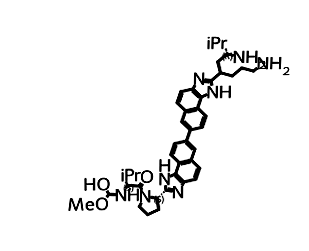 COC(O)N[C@H](C(=O)N1CCC[C@H]1c1nc2ccc3cc(-c4ccc5c(ccc6nc(C(CCCN)C[C@@H](N)C(C)C)[nH]c65)c4)ccc3c2[nH]1)C(C)C